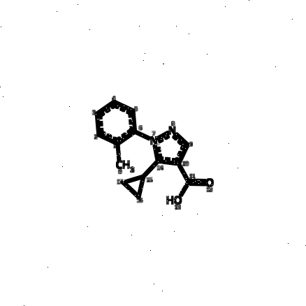 Cc1ccccc1-n1ncc(C(=O)O)c1C1CC1